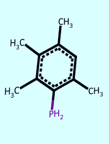 Cc1cc(C)c(P)c(C)c1C